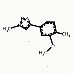 COc1cc(-c2cn(C)nn2)ccc1C